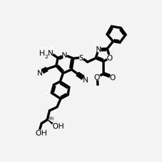 COC(=O)c1oc(-c2ccccc2)nc1CSc1nc(N)c(C#N)c(-c2ccc(CC[C@@H](O)CO)cc2)c1C#N